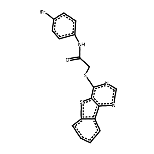 CC(C)c1ccc(NC(=O)CSc2ncnc3c2sc2ccccc23)cc1